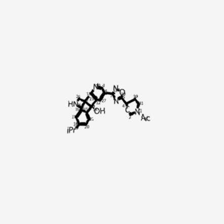 CC(=O)N1CCC(c2nc(-c3cncc([C@@](O)(c4ccc(C(C)C)cc4)C4(C)CNC4)c3)no2)CC1